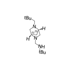 CC(C)(C)CN1C[C@@H]2C[C@H]1CN2CNC(C)(C)C